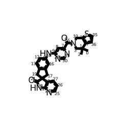 CC1(C)CN(C(=O)c2cc(Nc3ccc4c(c3)CC3(C4)C(=O)Nc4ncccc43)ncn2)Cc2sccc21